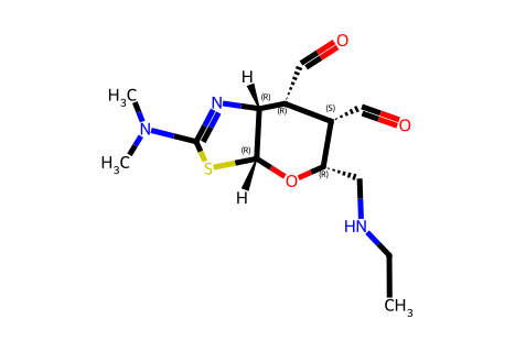 CCNC[C@@H]1O[C@@H]2SC(N(C)C)=N[C@@H]2[C@H](C=O)[C@@H]1C=O